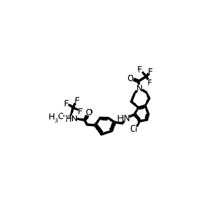 C[C@@H](NC(=O)Cc1ccc(CNc2c(Cl)ccc3c2CCN(C(=O)C(F)(F)F)CC3)cc1)C(F)(F)F